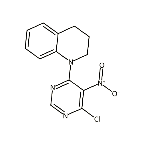 O=[N+]([O-])c1c(Cl)ncnc1N1CCCc2ccccc21